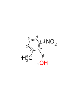 [CH2]c1cccc([N+](=O)[O-])c1CO